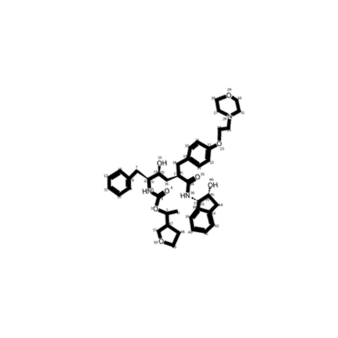 CC(OC(=O)N[C@@H](Cc1ccccc1)[C@@H](O)C[C@@H](Cc1ccc(OCCN2CCOCC2)cc1)C(=O)N[C@H]1c2ccccc2C[C@H]1O)C1CCOC1